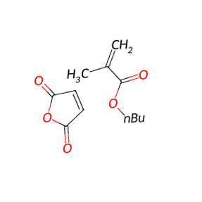 C=C(C)C(=O)OCCCC.O=C1C=CC(=O)O1